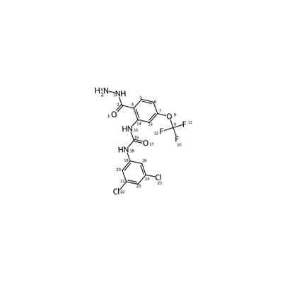 NNC(=O)c1ccc(OC(F)(F)F)cc1NC(=O)Nc1cc(Cl)cc(Cl)c1